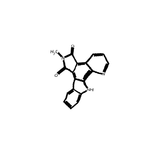 CN1C(=O)c2c(c3c4ccccc4[nH]c3c3ncccc23)C1=O